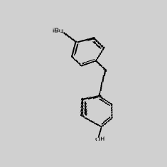 CCC(C)c1ccc(Cc2ccc(O)cc2)cc1